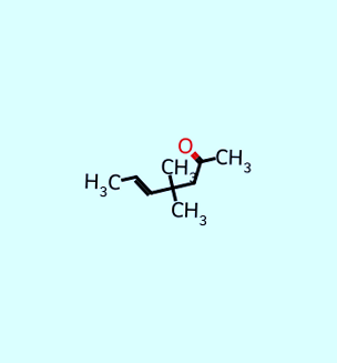 CC=CC(C)(C)CC(C)=O